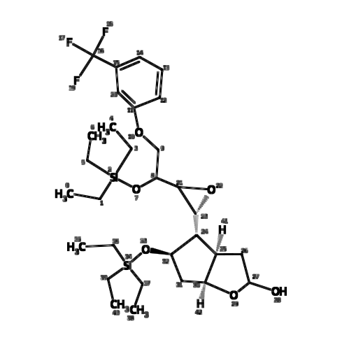 CC[Si](CC)(CC)OC(COc1cccc(C(F)(F)F)c1)C1O[C@@H]1[C@@H]1[C@H]2CC(O)O[C@H]2C[C@H]1O[Si](CC)(CC)CC